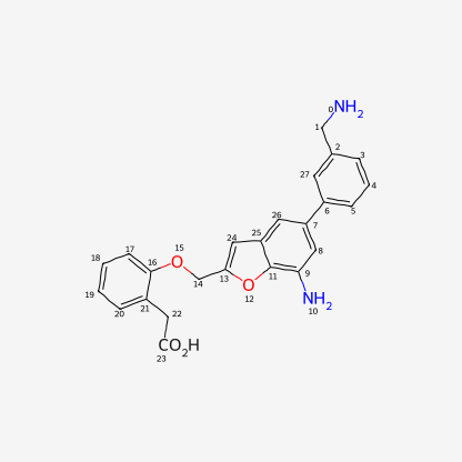 NCc1cccc(-c2cc(N)c3oc(COc4ccccc4CC(=O)O)cc3c2)c1